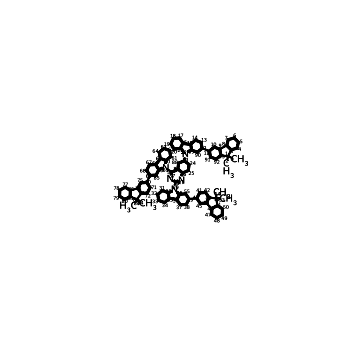 CC1(C)c2ccccc2-c2cc(-c3ccc4c5ccccc5n(-c5ccc6nc(-n7c8ccccc8c8ccc(-c9ccc%10c(c9)-c9ccccc9C%10(C)C)cc87)nc(-n7c8ccccc8c8ccc(-c9ccc%10c(c9)-c9ccccc9C%10(C)C)cc87)c6c5)c4c3)ccc21